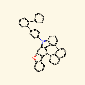 c1ccc(-c2ccccc2-c2ccc(-n3c4cccc5c4c4c(c6c(cc43)oc3ccccc36)-c3cccc4cccc-5c34)cc2)cc1